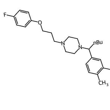 CCCCC(c1ccc(C)c(C#N)c1)N1CCN(CCCOc2ccc(F)cc2)CC1